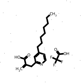 C=C(Cc1cc(CCCCCCCC)ccn1)C(=O)O.O=C(O)C(F)(F)F